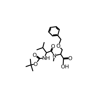 CC(C)C(NC(=O)OC(C)(C)C)C(=O)N(C)C(COCc1ccccc1)C(=O)O